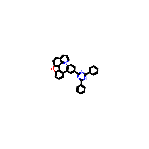 c1ccc(-c2nc(-c3ccccc3)nc(-c3cccc(-c4cccc5oc6ccc7cccnc7c6c45)c3)n2)cc1